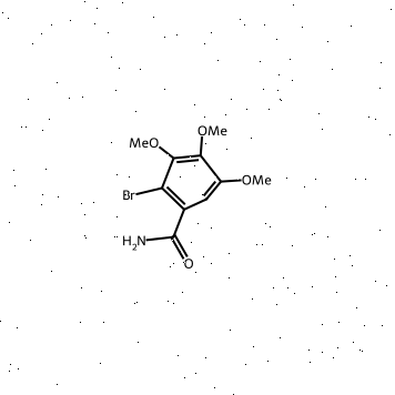 COc1cc(C(N)=O)c(Br)c(OC)c1OC